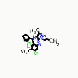 C=CCN1NC(C)=C2N=C(c3ccccc3Cl)c3cc(C)c(Cl)cc3N=C21